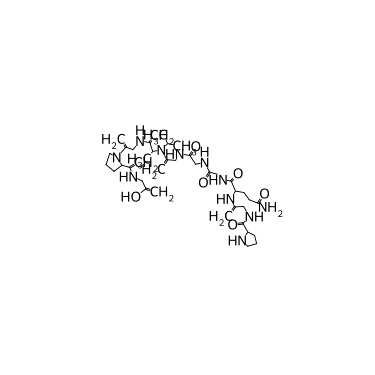 C=C(O)CNC(=C)C1CCCN1C(=C)CNC(=C)C(C)N(C(=C)CNC(=O)CNC(=O)CNC(=O)C(CCC(N)=O)NC(=C)CNC(=O)C1CCCN1)C(C)C